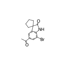 CC(=O)c1cc(Br)c2c(c1)C1(CCCC1)C(=O)N2